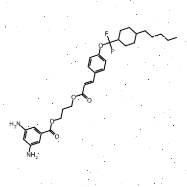 CCCCCC1CCC(C(F)(F)Oc2ccc(C=CC(=O)OCCCOC(=O)c3cc(N)cc(N)c3)cc2)CC1